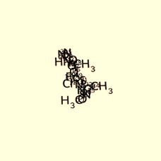 COc1cnc2c(-c3nc4c(Cl)c(F)c(OCC(C)OC(=O)Nc5cncnc5)cc4s3)cc(C)cc2n1